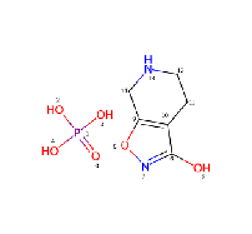 O=P(O)(O)O.Oc1noc2c1CCNC2